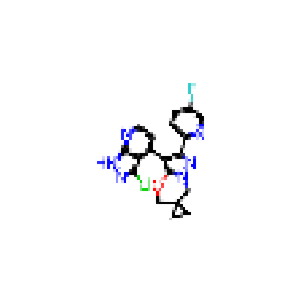 Fc1ccc(-c2nn3c(c2-c2ccnc4[nH]nc(Cl)c24)OCC2(CC2)C3)nc1